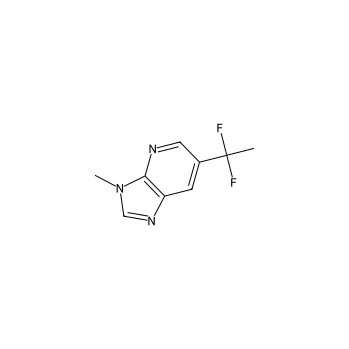 Cn1cnc2cc(C(C)(F)F)cnc21